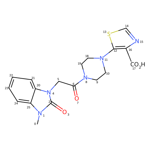 Cn1c(=O)n(CC(=O)N2CCN(c3scnc3C(=O)O)CC2)c2ccccc21